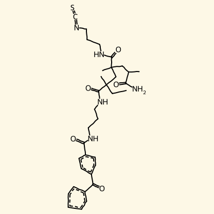 CCC(C)(CC(C)(CC(C)C(N)=O)C(=O)NCCCN=C=S)C(=O)NCCCNC(=O)c1ccc(C(=O)c2ccccc2)cc1